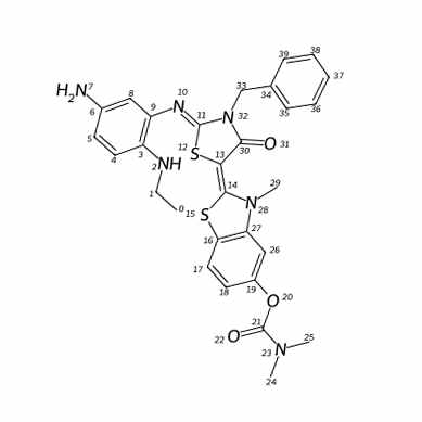 CCNc1ccc(N)cc1/N=C1\S/C(=C2\Sc3ccc(OC(=O)N(C)C)cc3N2C)C(=O)N1Cc1ccccc1